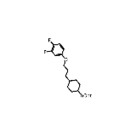 CCCCCCCCC1CCC(CCCOc2ccc(F)c(F)c2)CC1